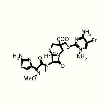 CCc1c[n+](N)c(SCC2(C(=O)[O-])CS[C@@H]3C(NC(=O)C(=NOC)c4csc(N)n4)C(=O)N3C2)nc1N